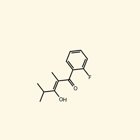 C/C(C(=O)c1ccccc1F)=C(/O)C(C)C